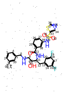 CCc1cccc(CNC[C@@H](O)[C@H](Cc2cc(F)cc(F)c2)NC(=O)c2cccc(NS(=O)(=O)c3cncs3)c2)c1